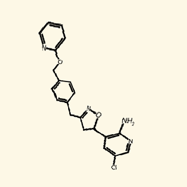 Nc1ncc(Cl)cc1C1CC(Cc2ccc(COc3ccccn3)cc2)=NO1